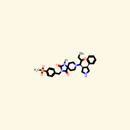 CC(C)N1C(=O)N(Cc2ccc(S(C)(=O)=O)cc2)C(=O)C12CCN(C(C(=O)CC(C)(C)C)[C@@H]1CNC[C@@H]1c1ccccc1)CC2